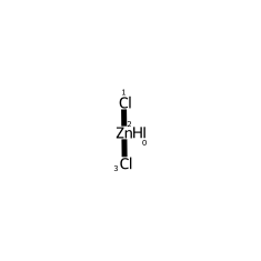 I.[Cl][Zn][Cl]